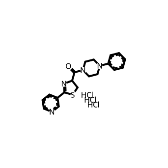 Cl.Cl.Cl.O=C(C1CSC(c2cccnc2)=N1)N1CCN(c2ccccc2)CC1